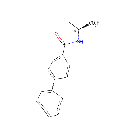 C[C@H](NC(=O)c1ccc(-c2ccccc2)cc1)C(=O)O